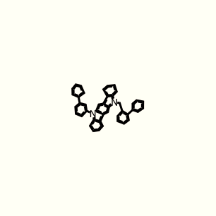 c1ccc(-c2cccc(-n3c4ccccc4c4cc5c(cc43)c3ccccc3n5Cc3ccccc3-c3ccccc3)c2)cc1